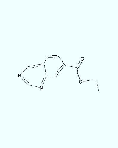 CCOC(=O)c1ccc2cncnc2c1